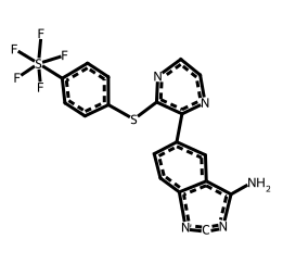 Nc1ncnc2ccc(-c3nccnc3Sc3ccc(S(F)(F)(F)(F)F)cc3)cc12